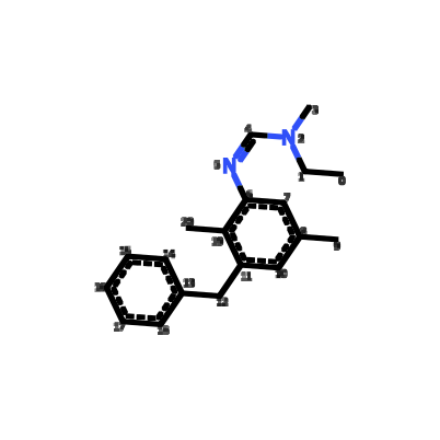 CCN(C)/C=N\c1cc(C)cc(Cc2ccccc2)c1C